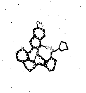 Cc1ccc2c(C)c3c(cc2c1)c1nccc2ccc4c5cccc(CC6CCCC6)c5n3c4c21